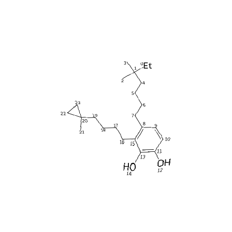 CCC(C)(C)CCCCc1ccc(O)c(O)c1CCCCC1(C)CC1